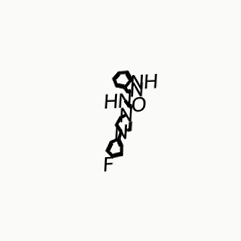 O=C(Nc1n[nH]c2ccccc12)N1CCN(c2ccc(F)cc2)CC1